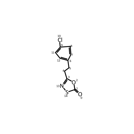 O=c1oc(CCc2ccc(Cl)cc2)ns1